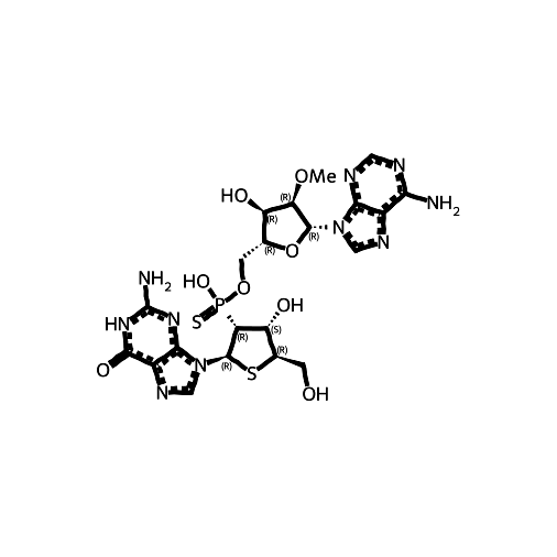 CO[C@@H]1[C@H](O)[C@@H](COP(O)(=S)[C@@H]2[C@H](O)[C@@H](CO)S[C@H]2n2cnc3c(=O)[nH]c(N)nc32)O[C@H]1n1cnc2c(N)ncnc21